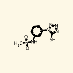 CS(=O)(=O)Nc1cccc(-n2nnnc2S)c1